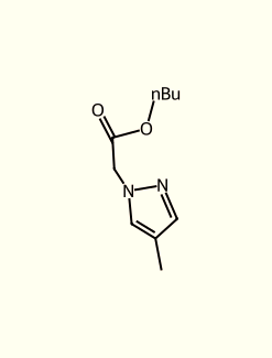 CCCCOC(=O)Cn1cc(C)cn1